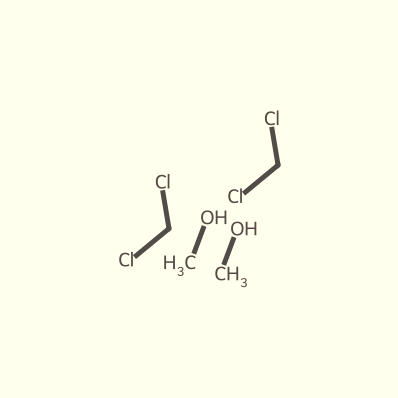 CO.CO.ClCCl.ClCCl